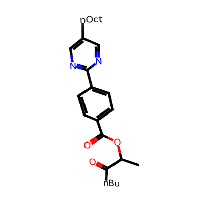 CCCCCCCCc1cnc(-c2ccc(C(=O)OC(C)C(=O)CCCC)cc2)nc1